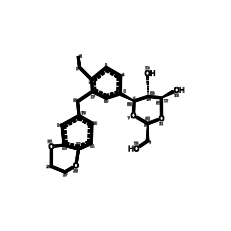 CCc1ccc([C@@H]2O[C@H](CO)O[C@H](O)[C@H]2O)cc1Cc1ccc2c(c1)OCCO2